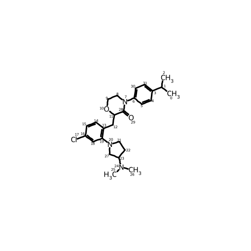 CC(C)c1ccc(N2CCOC(Cc3ccc(Cl)cc3N3CCC(N(C)C)C3)C2=O)cc1